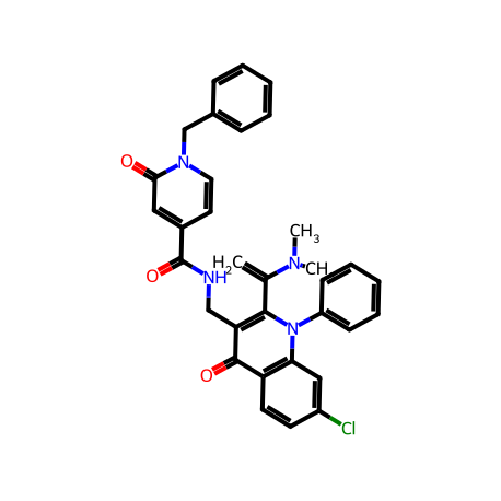 C=C(c1c(CNC(=O)c2ccn(Cc3ccccc3)c(=O)c2)c(=O)c2ccc(Cl)cc2n1-c1ccccc1)N(C)C